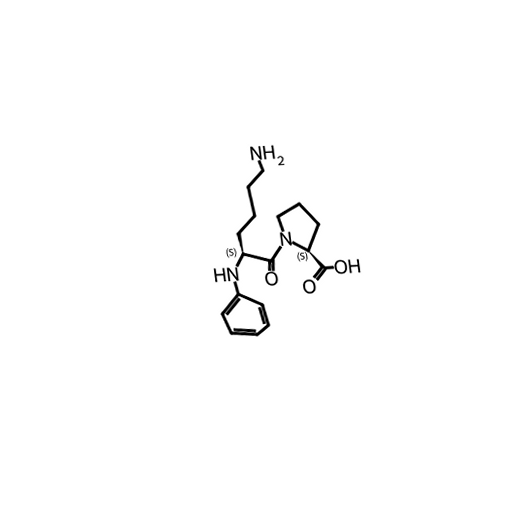 NCCCC[C@H](Nc1ccccc1)C(=O)N1CCC[C@H]1C(=O)O